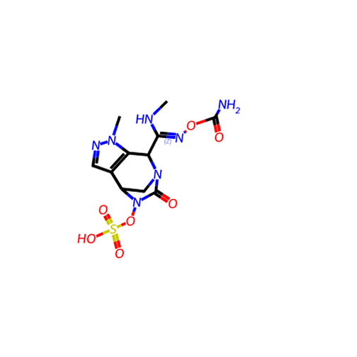 CN/C(=N\OC(N)=O)C1c2c(cnn2C)C2CN1C(=O)N2OS(=O)(=O)O